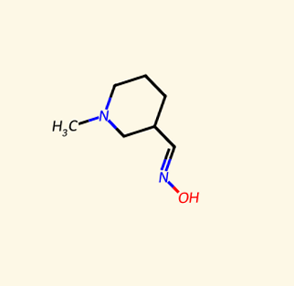 CN1CCCC(C=NO)C1